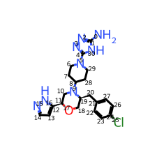 Nc1nnc(N2CCC(N3C[C@H](c4ccn[nH]4)OC[C@@H]3Cc3ccc(Cl)cc3)CC2)[nH]1